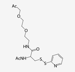 CC(=O)COCCOCCNC(=O)C(CSSc1ccccn1)NC(C)=O